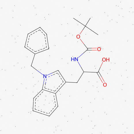 CC(C)(C)OC(=O)NC(Cc1cn(Cc2ccccc2)c2ccccc12)C(=O)O